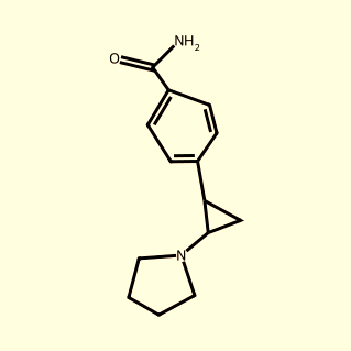 NC(=O)c1ccc(C2CC2N2CCCC2)cc1